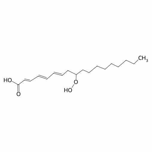 CCCCCCCCCC(CC=CC=CC=CC(=O)O)OO